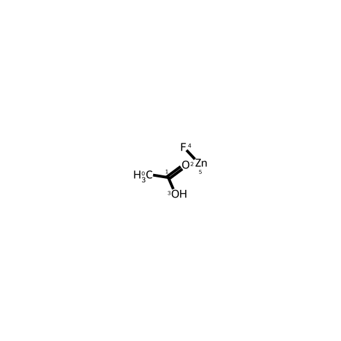 CC(=O)O.[F][Zn]